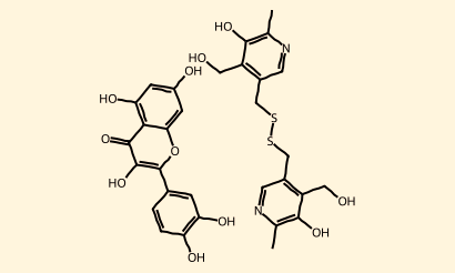 Cc1ncc(CSSCc2cnc(C)c(O)c2CO)c(CO)c1O.O=c1c(O)c(-c2ccc(O)c(O)c2)oc2cc(O)cc(O)c12